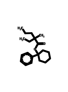 CCCC(C)(CC)C(=O)OC1(c2ccccc2)CCCCC1